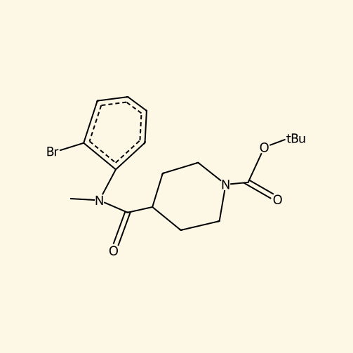 CN(C(=O)C1CCN(C(=O)OC(C)(C)C)CC1)c1ccccc1Br